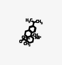 CC(C)c1ccc2c(c1)CC[C@H]1[C@](C)(C(=O)[O-])CCC[C@]21C.[Na+]